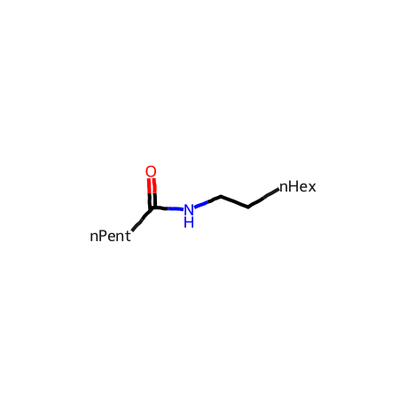 CCCCCCCCNC(=O)CCCCC